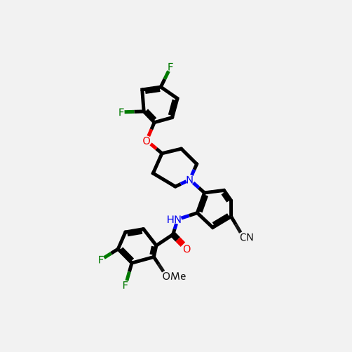 COc1c(C(=O)Nc2cc(C#N)ccc2N2CCC(Oc3ccc(F)cc3F)CC2)ccc(F)c1F